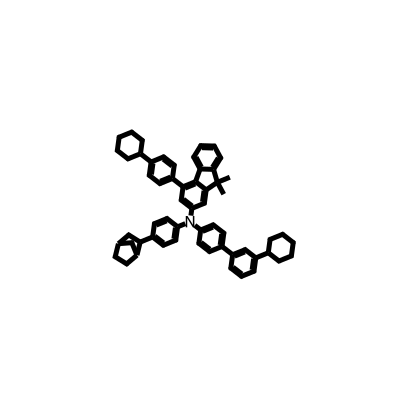 CC1(C)c2ccccc2-c2c(-c3ccc(C4CCCCC4)cc3)cc(N(c3ccc(-c4cccc(C5CCCCC5)c4)cc3)c3ccc(C4CC5CCC4C5)cc3)cc21